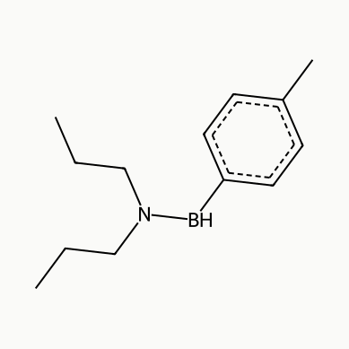 CCCN(Bc1ccc(C)cc1)CCC